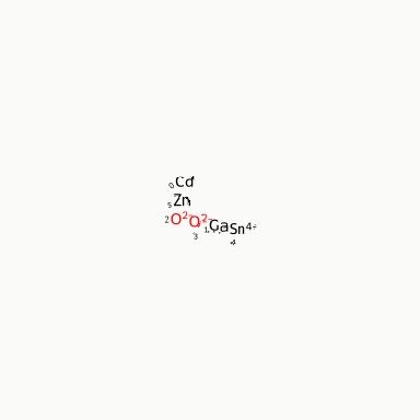 [Cd].[Ga].[O-2].[O-2].[Sn+4].[Zn]